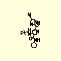 CC(C)(F)CNc1cc(-c2cnn3cc(C#N)cnc23)ncc1C(=O)NC1CCCCC1